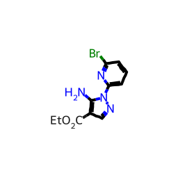 CCOC(=O)c1cnn(-c2cccc(Br)n2)c1N